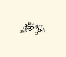 CC(C)(C)OC(=O)N(C(=O)OC(C)(C)C)C1CCc2cc(C3=CSC(c4cc(Cl)cc(Cl)c4)(C(F)(F)F)C3)ccc21